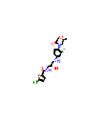 CC1CN(c2ccc(NCC(O)CNC(=O)c3ccc(Cl)s3)cc2Cl)C(=O)CO1